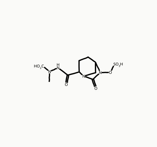 CN(NC(=O)C1CCC2CN1C(=O)N2OS(=O)(=O)O)C(=O)O